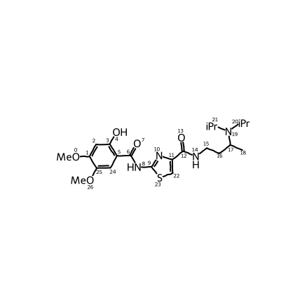 COc1cc(O)c(C(=O)Nc2nc(C(=O)NCCC(C)N(C(C)C)C(C)C)cs2)cc1OC